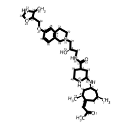 CC(=O)/C=C1\C[C@H](C)C[C@H](NC2CC(C(=O)NC[C@H](O)CN3CCc4cc(OCC5OCNC5C)ccc4C3)CCN2)C[C@@H]1C